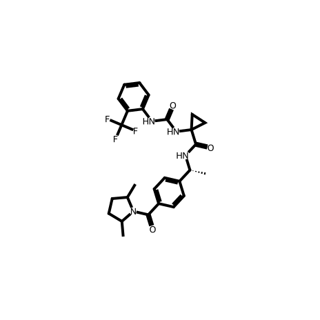 CC1CCC(C)N1C(=O)c1ccc([C@@H](C)NC(=O)C2(NC(=O)Nc3ccccc3C(F)(F)F)CC2)cc1